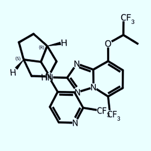 CC(Oc1ccc(C(F)(F)F)n2nc(NC3[C@@H]4CC[C@H]3CN(c3ccnc(C(F)(F)F)c3)C4)nc12)C(F)(F)F